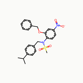 CC(C)c1ccc(CN(c2ccc([N+](=O)[O-])cc2OCc2ccccc2)S(C)(=O)=O)cc1